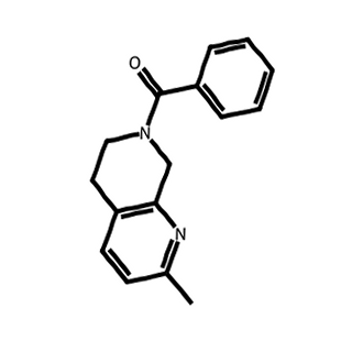 Cc1ccc2c(n1)CN(C(=O)c1ccccc1)CC2